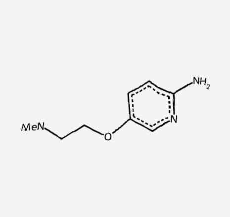 CNCCOc1ccc(N)nc1